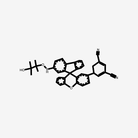 CC(C)(O)C(C)(C)OBc1ccc2c(c1)C1(c3ccccc3Oc3ccc(C4C=C(C#N)C=C(C#N)C4)cc31)c1ccccc1-2